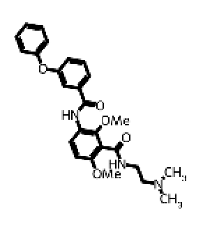 COc1ccc(NC(=O)c2cccc(Oc3ccccc3)c2)c(OC)c1C(=O)NCCN(C)C